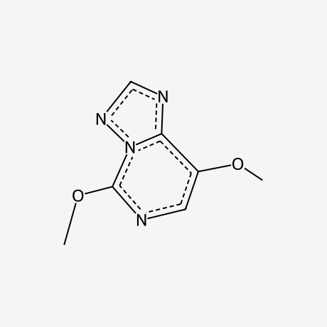 COc1cnc(OC)n2ncnc12